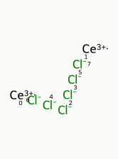 [Ce+3].[Ce+3].[Cl-].[Cl-].[Cl-].[Cl-].[Cl-].[Cl-]